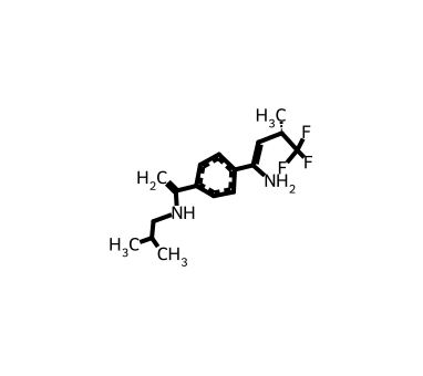 C=C(NCC(C)C)c1ccc(/C(N)=C/[C@H](C)C(F)(F)F)cc1